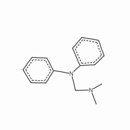 CN(C)CN(c1cc[c]cc1)c1ccccc1